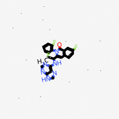 CCC(Nc1ncnc2[nH]cnc12)c1cc2ccc(F)cc2c(=O)n1-c1c(F)cccc1F